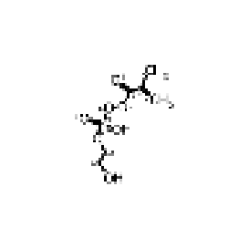 C=C(C)C(=O)OOP(=O)(O)OCCO